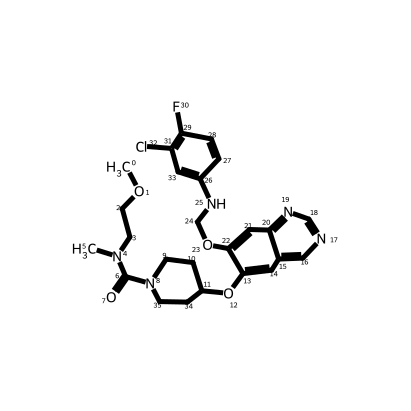 COCCN(C)C(=O)N1CCC(Oc2cc3cncnc3cc2OCNc2ccc(F)c(Cl)c2)CC1